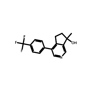 CC1(O)CCc2c(-c3ccc(C(F)(F)F)cc3)cncc21